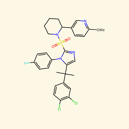 COc1ccc(C2CCCCN2S(=O)(=O)c2ncc(C(C)(C)c3ccc(Cl)c(Cl)c3)n2-c2ccc(F)cc2)cn1